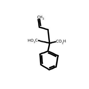 C=CCC(C(=O)O)(C(=O)O)c1ccccc1